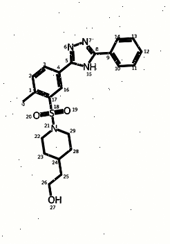 Cc1ccc(-c2nnc(-c3ccccc3)[nH]2)cc1S(=O)(=O)N1CCC(CCO)CC1